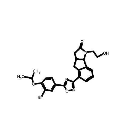 CC(C)Oc1ccc(-c2nc(-c3cccc4c3CC3CC(=O)N(CCO)C43)no2)cc1Br